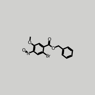 COc1cc(C(=O)OCc2ccccc2)c(Br)cc1N=O